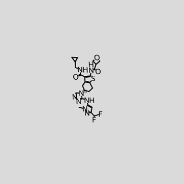 Cn1nc(C(F)F)cc1Nc1nncn1[C@H]1CCc2sc(NC(=O)C3COC3)c(C(=O)NCC3CC3)c2C1